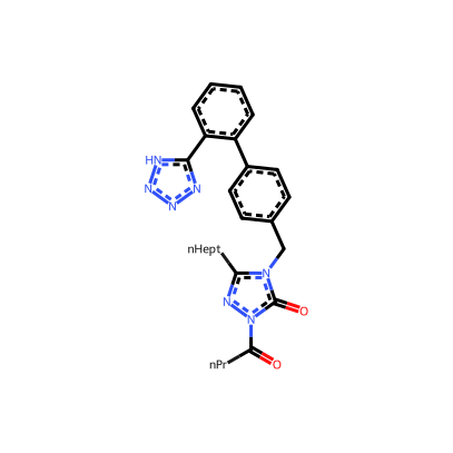 CCCCCCCc1nn(C(=O)CCC)c(=O)n1Cc1ccc(-c2ccccc2-c2nnn[nH]2)cc1